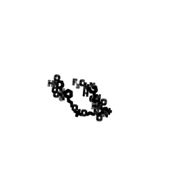 Cn1cc(NC(=O)c2coc(-c3ccnc(NCC(F)(F)F)c3)n2)c(C(=O)NCCCOCC(C)(C)COCCCc2cccc3c2n(C)c(=O)n3C2CCC(=O)NC2=O)n1